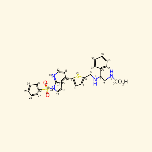 O=C(O)NCC(NCc1ccc(-c2ccnc3c2ccn3S(=O)(=O)c2ccccc2)s1)c1ccccc1